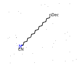 CCCCCCCCCCCCCCCCCCCCCCCCC=NC#N